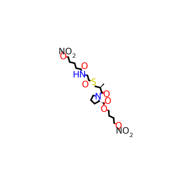 C[C@H](CSC(=O)CNC(=O)CCCCO[N+](=O)[O-])C(=O)N1CCC[C@H]1C(=O)OCCCCO[N+](=O)[O-]